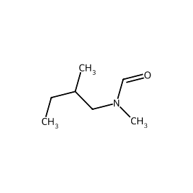 CCC(C)CN(C)C=O